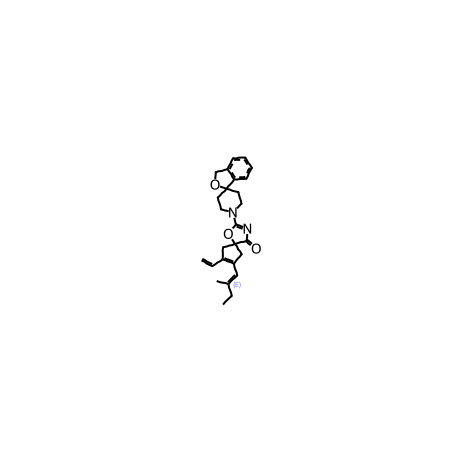 C=CC1=C(/C=C(\C)CC)CC2(C1)OC(N1CCC3(CC1)OCc1ccccc13)=NC2=O